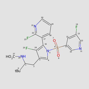 CC(C)(C)C(Cc1cn(S(=O)(=O)c2cncc(F)c2)c(-c2cccnc2F)c1F)NC(=O)O